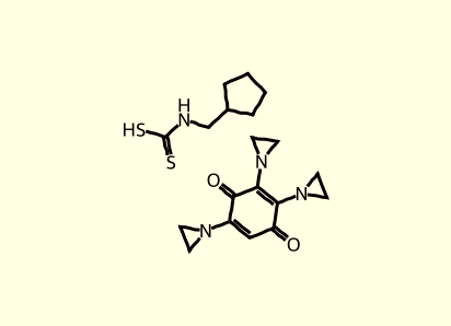 O=C1C=C(N2CC2)C(=O)C(N2CC2)=C1N1CC1.S=C(S)NCC1CCCC1